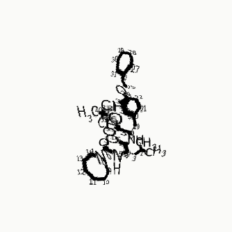 CC(C)C[C@H](NC(=O)N1CCCCCC1)C(=O)N[C@@H](Cc1ccc(OCC2CCCCC2)cc1)C(=O)OC(C)(C)C